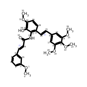 COc1cccc(/C=C/C(=O)Nc2c(/C=C/c3cc(OC)c(OC)c(OC)c3)ccc(OC)c2O)c1